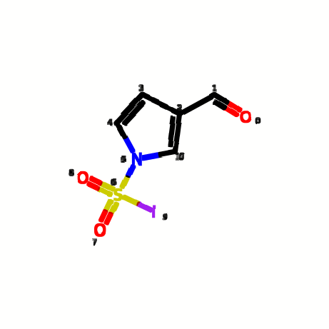 O=Cc1ccn(S(=O)(=O)I)c1